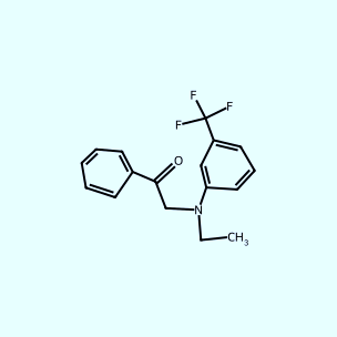 CCN(CC(=O)c1ccccc1)c1cccc(C(F)(F)F)c1